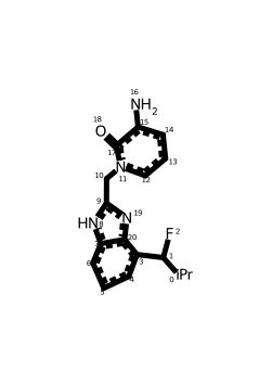 CC(C)C(F)c1cccc2[nH]c(Cn3cccc(N)c3=O)nc12